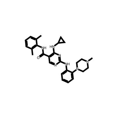 Cc1cccc(C)c1NC(=O)c1cnc(Nc2ccccc2N2CCN(C)CC2)nc1NC1CC1